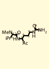 CNC(C(=O)NC(CCCNC(N)=O)C(C)=O)C(C)C